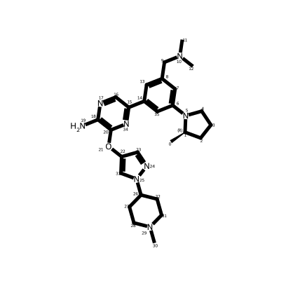 C[C@@H]1CCCN1c1cc(CN(C)C)cc(-c2cnc(N)c(Oc3cnn(C4CCN(C)CC4)c3)n2)c1